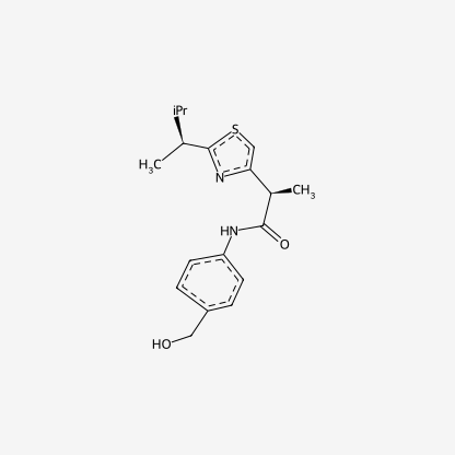 CC(C)[C@H](C)c1nc([C@@H](C)C(=O)Nc2ccc(CO)cc2)cs1